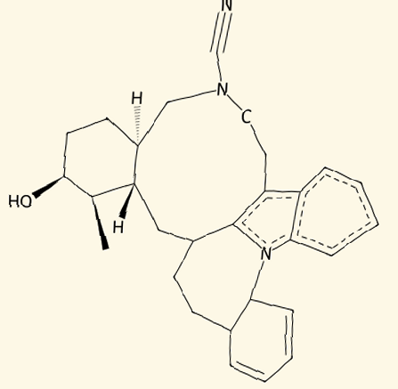 C[C@@H]1[C@H]2CC3CCC4C=CC=CC4n4c3c(c3ccccc34)CCN(C#N)C[C@@H]2CC[C@@H]1O